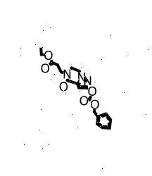 CCOC(=O)CCN1CCn2nc(OC(=O)OCc3ccccc3)cc2C1=O